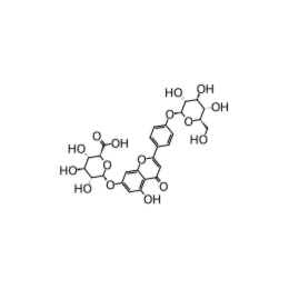 O=C(O)[C@H]1O[C@@H](Oc2cc(O)c3c(=O)cc(-c4ccc(O[C@@H]5O[C@H](CO)[C@@H](O)[C@H](O)[C@H]5O)cc4)oc3c2)[C@H](O)[C@@H](O)[C@@H]1O